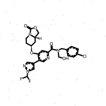 O=C(c1cc(O[C@H]2CCN3C(=O)OC[C@@H]3C2)c(-c2cnn(C(F)F)c2)cn1)N(CO)Cc1ccc(Cl)cc1